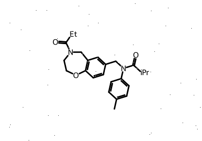 CCC(=O)N1CCOc2ccc(CN(C(=O)C(C)C)c3ccc(C)cc3)cc2C1